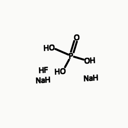 F.O=P(O)(O)O.[NaH].[NaH]